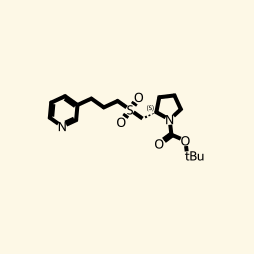 CC(C)(C)OC(=O)N1CCC[C@H]1CS(=O)(=O)CCCc1cccnc1